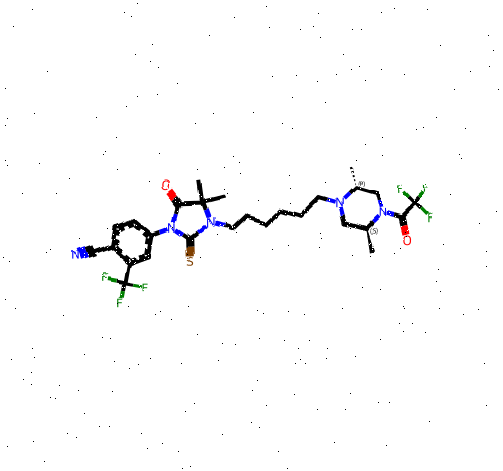 C[C@@H]1CN(C(=O)C(F)(F)F)[C@@H](C)CN1CCCCCCN1C(=S)N(c2ccc(C#N)c(C(F)(F)F)c2)C(=O)C1(C)C